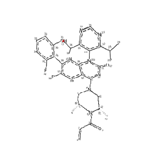 C=CC(=O)N1[C@H](C)CN(c2nc(=O)n(-c3c(C(C)C)ncnc3C(C)C)c3nc(-c4c(O)cccc4F)c(F)cc23)C[C@@H]1C